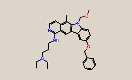 CCN(CC)CCCNc1nccc2c(C)c3c(cc12)c1cc(OCc2ccccc2)ccc1n3COC